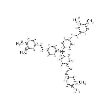 Cc1ccc(C=Cc2ccc(N(c3ccc(C=Cc4ccc(C)c(C)c4)cc3)c3ccc(C=Cc4ccc(C)c(C)c4)cc3)cc2)cc1C